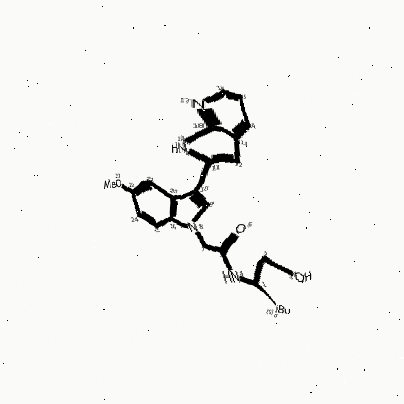 CC[C@H](C)C(CO)NC(=O)Cn1cc(-c2cc3cccnc3[nH]2)c2cc(OC)ccc21